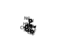 N#Cc1cncc(C(Nc2cc(Cl)c3ncc(C#N)c(Nc4cnc(F)c(F)c4)c3c2)C2=CN(C3CC3)NN2)c1